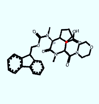 CN(C(=O)[C@H](C1CCCC1)N(C)C(=O)OCC1c2ccccc2-c2ccccc21)C(CC(=O)O)C(=O)N1CCOCC1